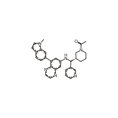 CC(=O)N1CCC[C@@H](C(Nc2cc(-c3ccc4ccn(C)c4c3)c3nccnc3c2)c2cccnc2)C1